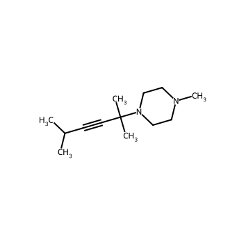 CC(C)C#CC(C)(C)N1CCN(C)CC1